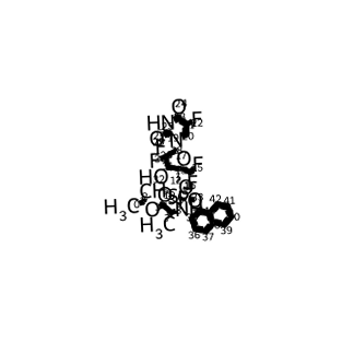 CC(C)OC(=O)[C@H](C)NP(=S)(OC[C@@]1(C(F)F)O[C@@H](n2cc(F)c(=O)[nH]c2=O)C(F)(F)[C@@H]1O)Oc1cccc2ccccc12